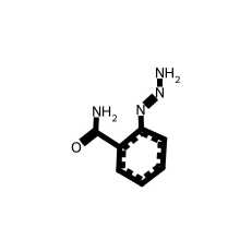 NN=Nc1ccccc1C(N)=O